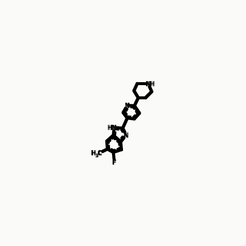 Cc1cc2[nH]c(-c3ccc(C4CCNCC4)nc3)nc2cc1F